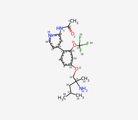 CC(=O)Nc1cc(-c2ccc(OCC(C)(N)CC(C)C)cc2OC(F)(F)F)ccn1